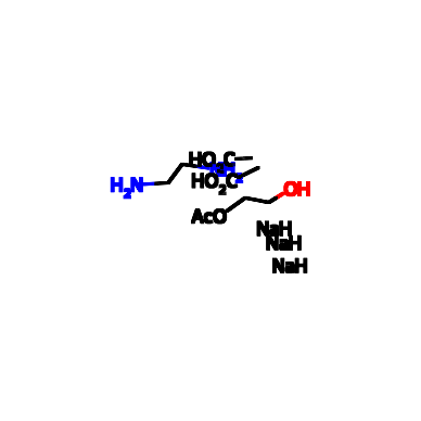 CC(=O)O.CC(=O)O.CC(=O)OCCO.NCCN.[NaH].[NaH].[NaH]